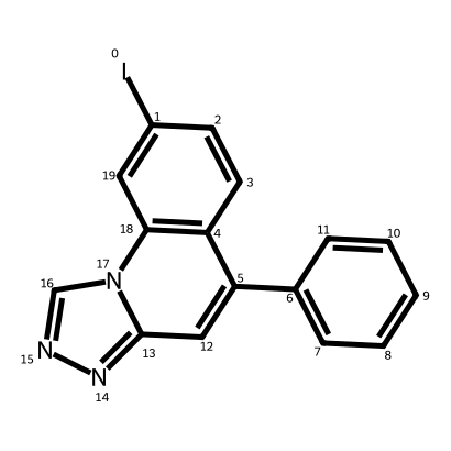 Ic1ccc2c(-c3ccccc3)cc3nncn3c2c1